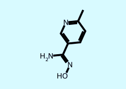 Cc1ccc(/C(N)=N/O)cn1